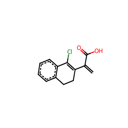 C=C(C(=O)O)C1=C(Cl)c2ccccc2CC1